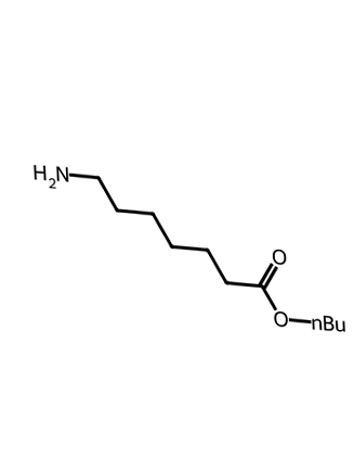 CCCCOC(=O)CCCCCCN